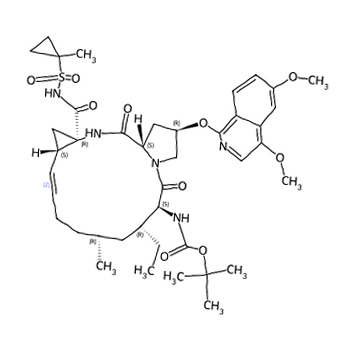 CC[C@@H]1C[C@H](C)CC/C=C\[C@@H]2C[C@@]2(C(=O)NS(=O)(=O)C2(C)CC2)NC(=O)[C@@H]2C[C@@H](Oc3ncc(OC)c4cc(OC)ccc34)CN2C(=O)[C@H]1NC(=O)OC(C)(C)C